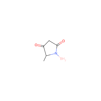 BN1C(=O)CC(=O)C1C